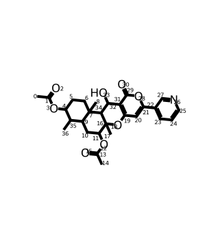 CC(=O)OC1CCC2(C)C(CC(OC(C)=O)C3(C)Oc4cc(-c5cccnc5)oc(=O)c4C(O)C23)C1C